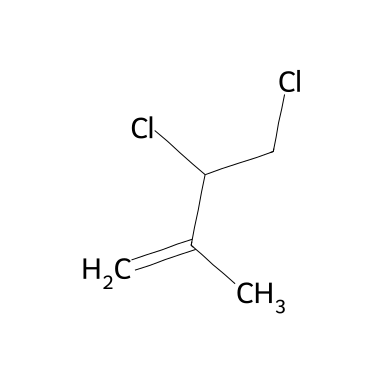 C=C(C)C(Cl)CCl